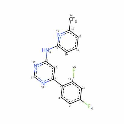 Fc1ccc(-c2cc(Nc3cccc(C(F)(F)F)n3)ncn2)c(F)c1